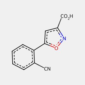 N#Cc1ccccc1-c1cc(C(=O)O)no1